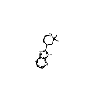 CC1(C)CC(c2nc3cccnc3[nH]2)CCO1